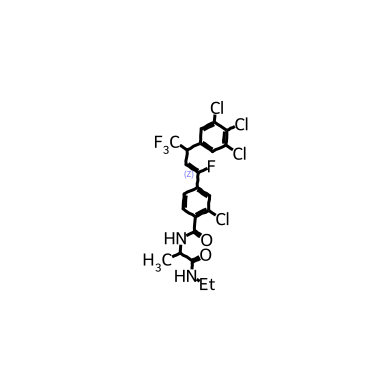 CCNC(=O)C(C)NC(=O)c1ccc(/C(F)=C/C(c2cc(Cl)c(Cl)c(Cl)c2)C(F)(F)F)cc1Cl